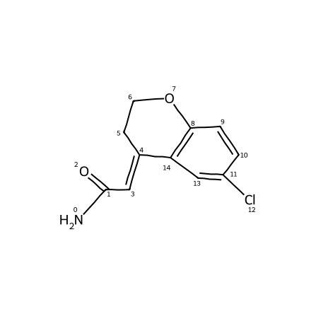 NC(=O)C=C1CCOc2ccc(Cl)cc21